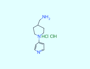 Cl.Cl.NCC1CCN(c2ccncc2)CC1